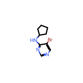 Brc1cn[c]nc1NC1CCCC1